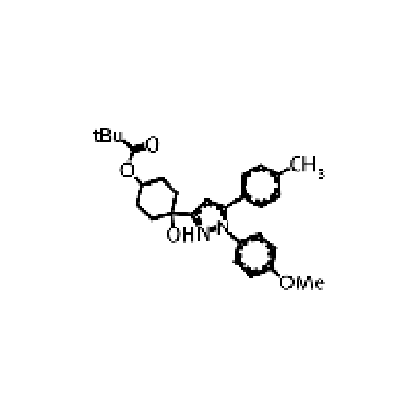 COc1ccc(-n2nc(C3(O)CCC(OC(=O)C(C)(C)C)CC3)cc2-c2ccc(C)cc2)cc1